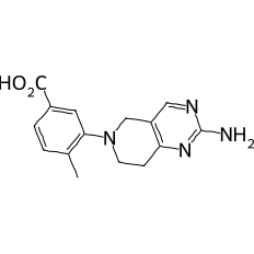 Cc1ccc(C(=O)O)cc1N1CCc2nc(N)ncc2C1